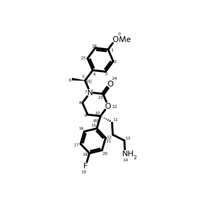 COc1ccc([C@H](C)N2CC[C@](CCCN)(c3ccc(F)cc3)OC2=O)cc1